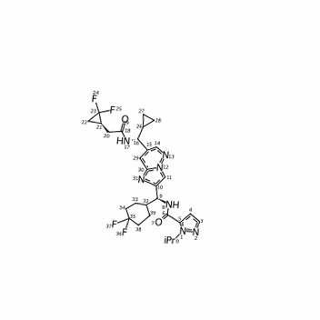 CC(C)n1nccc1C(=O)N[C@H](c1cn2ncc([C@H](NC(=O)C[C@H]3CC3(F)F)C3CC3)cc2n1)C1CCC(F)(F)CC1